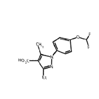 CCc1nn(-c2ccc(OC(F)F)cc2)c(C)c1C(=O)O